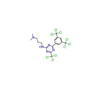 CN(C)CCCNc1nc(-c2cc(C(Cl)(Cl)Cl)cc(C(Cl)(Cl)Cl)c2)nc(C(Cl)(Cl)Cl)n1